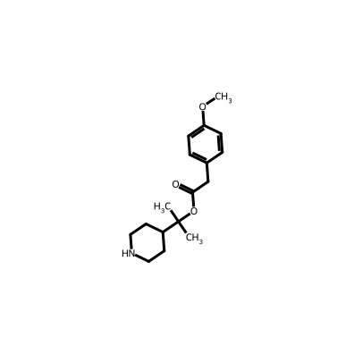 COc1ccc(CC(=O)OC(C)(C)C2CCNCC2)cc1